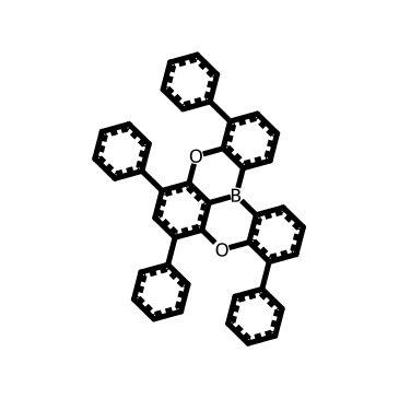 c1ccc(-c2cccc3c2Oc2c(-c4ccccc4)cc(-c4ccccc4)c4c2B3c2cccc(-c3ccccc3)c2O4)cc1